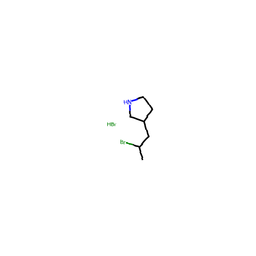 Br.CC(Br)CC1CCNC1